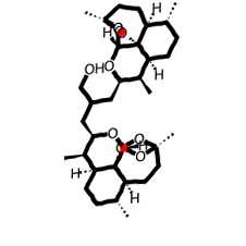 C[C@H]1[C@@H](CC(CO)C[C@H]2O[C@@H]3O[C@]4(C)CC[C@H]5[C@H](C)CC[C@@H]([C@H]2C)[C@@]35OO4)O[C@@H]2O[C@]3(C)CC[C@H]4[C@H](C)CC[C@@H]1[C@@]24OO3